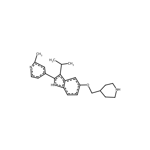 Cc1cc(-c2[nH]c3ccc(OCC4CCNCC4)cc3c2C(C)C)ccn1